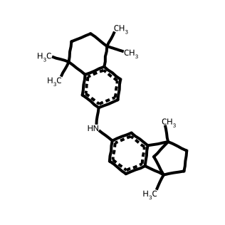 CC1(C)CCC(C)(C)c2cc(Nc3ccc4c(c3)C3(C)CCC4(C)C3)ccc21